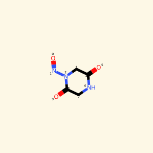 O=NN1CC(=O)NCC1=O